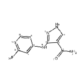 NC(=O)c1c[nH]nc1Nc1ccnc(F)c1